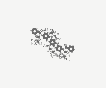 CCOc1cc2c(cc1N(C(=O)OC(C)(C)CC)C(=O)c1ccccc1)Oc1c(N(C(C)=O)C(=O)OC(C)(C)CC)c3c(c(N(C(C)=O)C(=O)OC(C)(C)CC)c1=N2)Oc1cc(N(C(=O)OC(C)(C)CC)C(=O)c2ccccc2)c(OCC)cc1N=3